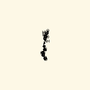 Cc1nn([C@H]2C[C@H](CCCNc3ccc4c(c3)C(=O)N(C3CCC(=O)NC3=O)C4=O)C2)cc1-c1cnc2ccc(N3CCOCC3)cc2n1